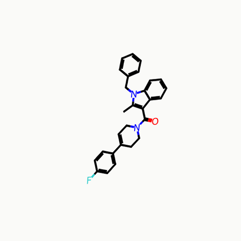 Cc1c(C(=O)N2CC=C(c3ccc(F)cc3)CC2)c2ccccc2n1Cc1ccccc1